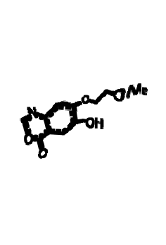 COCCOc1cc2ncoc(=O)c2cc1O